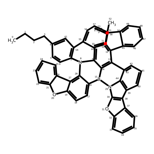 CCCCc1ccc(N2c3cc4c(c5c3B(c3ccc6oc7ccccc7c6c32)n2c3oc6ccccc6c3c3cccc-5c32)-c2ccccc2C4(C)C)c(-c2ccccc2)c1